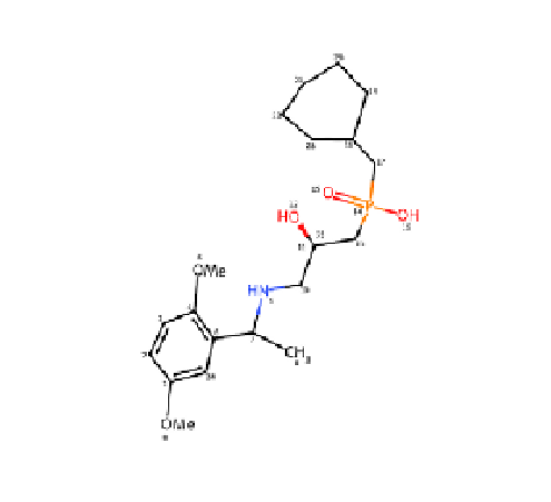 COc1ccc(OC)c(C(C)NC[C@@H](O)CP(=O)(O)CC2CCCCC2)c1